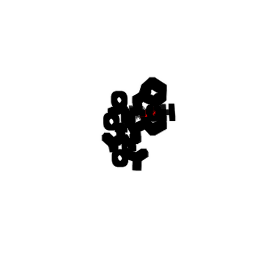 CC(=O)N([C@H](CO)Cc1ccccc1)N1C(=O)C(C(C)C)N(C(=O)C(C)C)C=C1c1ccccc1